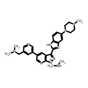 CN(C)Cc1cncc(-c2cnc3[nH]nc(-c4nc5cc(N6CCN(C)CC6)ccc5[nH]4)c3c2)c1.CNC